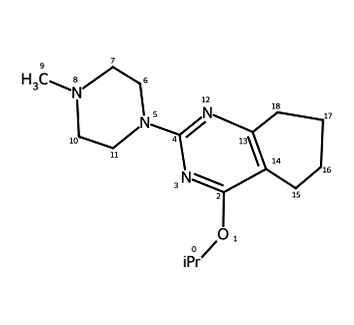 CC(C)Oc1nc(N2CCN(C)CC2)nc2c1CCCC2